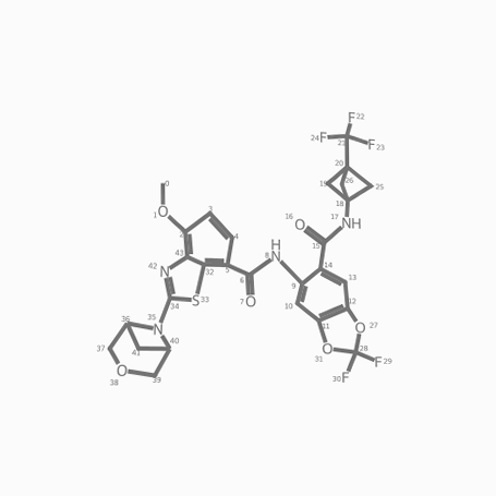 COc1ccc(C(=O)Nc2cc3c(cc2C(=O)NC24CC(C(F)(F)F)(C2)C4)OC(F)(F)O3)c2sc(N3C4COCC3C4)nc12